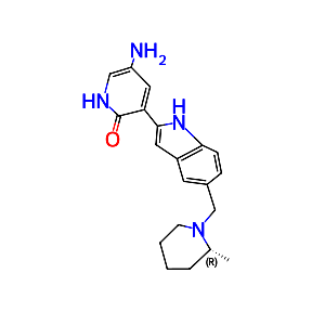 C[C@@H]1CCCCN1Cc1ccc2[nH]c(-c3cc(N)c[nH]c3=O)cc2c1